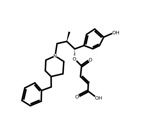 C[C@H](CN1CCC(Cc2ccccc2)CC1)[C@@H](OC(=O)/C=C/C(=O)O)c1ccc(O)cc1